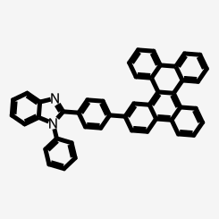 c1ccc(-n2c(-c3ccc(-c4ccc5c6ccccc6c6c7ccccc7c7ccccc7c6c5c4)cc3)nc3ccccc32)cc1